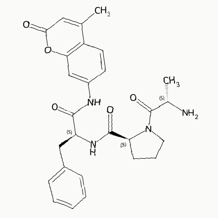 Cc1cc(=O)oc2cc(NC(=O)[C@H](Cc3ccccc3)NC(=O)[C@@H]3CCCN3C(=O)[C@H](C)N)ccc12